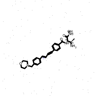 C[C@@H](N)[C@H](NC(=O)c1ccc(C#C/C=C/c2ccc(CN3CCOCC3)cc2)cc1)C(=O)NO